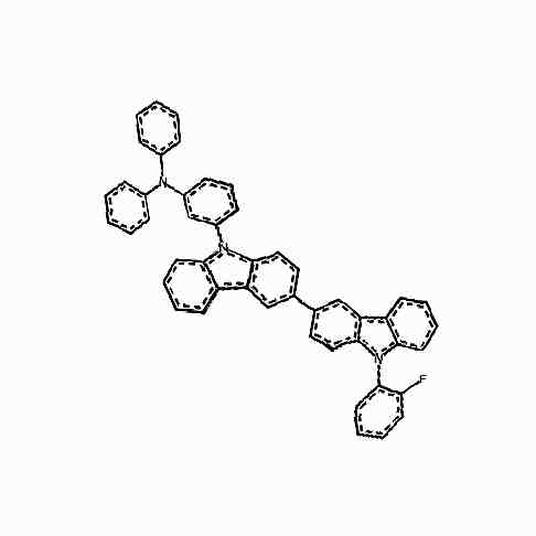 Fc1ccccc1-n1c2ccccc2c2cc(-c3ccc4c(c3)c3ccccc3n4-c3cccc(N(c4ccccc4)c4ccccc4)c3)ccc21